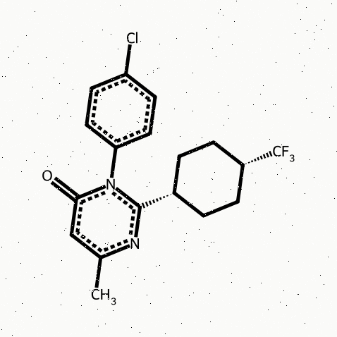 Cc1cc(=O)n(-c2ccc(Cl)cc2)c([C@H]2CC[C@@H](C(F)(F)F)CC2)n1